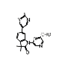 Cc1ncc(-c2ccc3c(c2)N(c2cncc(C=O)n2)C(=O)C3(C)C)cn1